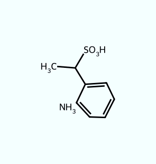 CC(c1ccccc1)S(=O)(=O)O.N